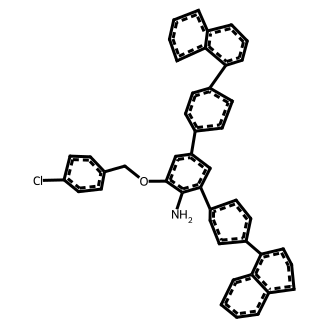 Nc1c(OCc2ccc(Cl)cc2)cc(-c2ccc(-c3cccc4ccccc34)cc2)cc1-c1ccc(-c2cccc3ccccc23)cc1